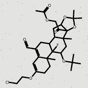 CC(=O)OCC(=O)C12OC(C)(C)OC1CC1C3CC(C=O)=C4C=C(OCCCl)CCC4(C)C3(F)C(OC(C)(C)C)CC12C